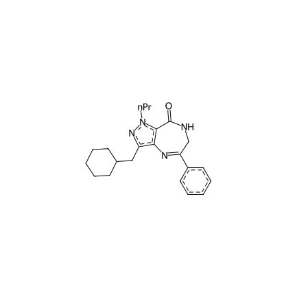 CCCn1nc(CC2CCCCC2)c2c1C(=O)NCC(c1ccccc1)=N2